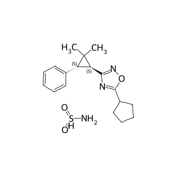 CC1(C)[C@@H](c2ccccc2)[C@@H]1c1noc(C2CCCC2)n1.N[SH](=O)=O